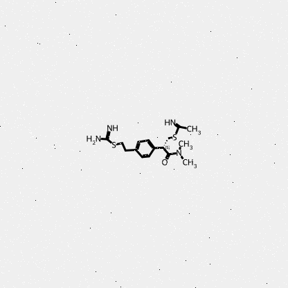 CC(=N)SC[C@H](C(=O)N(C)C)c1ccc(CCSC(=N)N)cc1